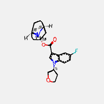 CN1[C@@H]2CC[C@H]1C[C@H](OC(=O)c1cn([C@H]3CCOC3)c3ccc(F)cc13)C2